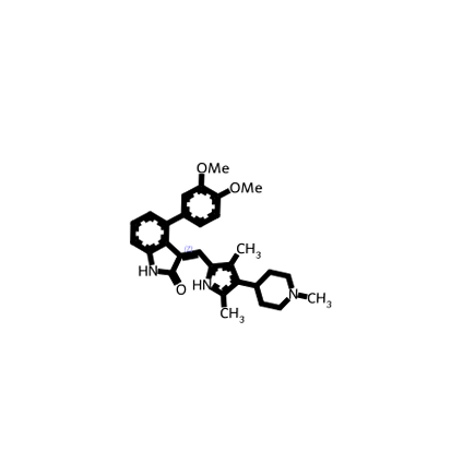 COc1ccc(-c2cccc3c2/C(=C/c2[nH]c(C)c(C4CCN(C)CC4)c2C)C(=O)N3)cc1OC